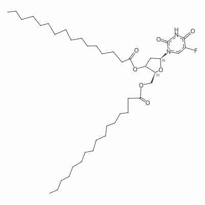 CCCCCCCCCCCCCCCC(=O)OC[C@@H]1O[C@H](n2cc(F)c(=O)[nH]c2=O)CC1OC(=O)CCCCCCCCCCCCCCC